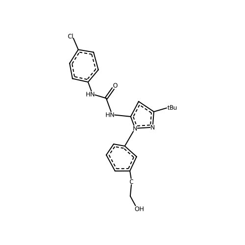 CC(C)(C)c1cc(NC(=O)Nc2ccc(Cl)cc2)n(-c2cccc(CCO)c2)n1